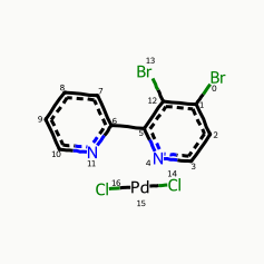 Brc1ccnc(-c2ccccn2)c1Br.[Cl][Pd][Cl]